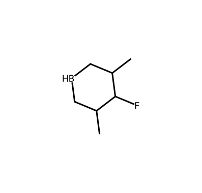 CC1CBCC(C)C1F